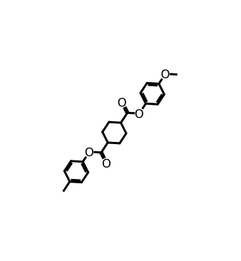 COc1ccc(OC(=O)C2CCC(C(=O)Oc3ccc(C)cc3)CC2)cc1